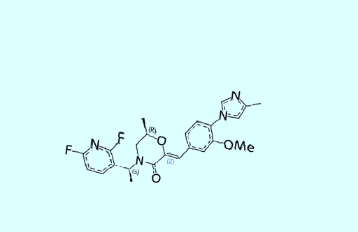 COc1cc(/C=C2\O[C@H](C)CN([C@@H](C)c3ccc(F)nc3F)C2=O)ccc1-n1cnc(C)c1